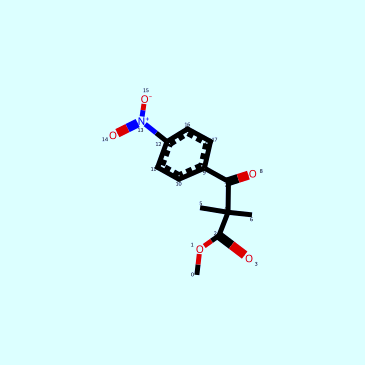 COC(=O)C(C)(C)C(=O)c1ccc([N+](=O)[O-])cc1